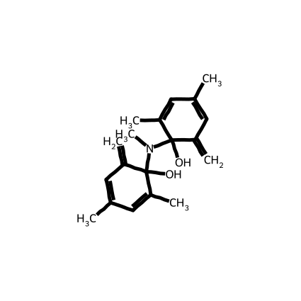 C=C1C=C(C)C=C(C)C1(O)N(C)C1(O)C(=C)C=C(C)C=C1C